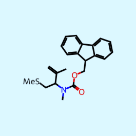 C=C(C)C(CSC)N(C)C(=O)OCC1c2ccccc2-c2ccccc21